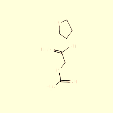 Cl.N=C(N)NCC(=O)N[C@H]1CCNC1